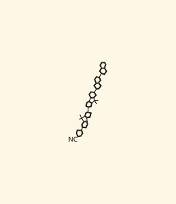 CC1(C)c2cc(-c3ccc(C#N)cc3)ccc2-c2ccc(-c3ccc4c(c3)C(C)(C)c3cc(-c5ccc6cc(-c7ccc8ccccc8c7)ccc6c5)ccc3-4)cc21